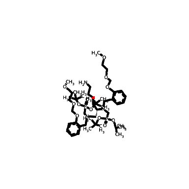 COCCOCOc1ccccc1CN(C[C@H](CCCCN)N(Cc1ccccc1OCOCCOC)CP(=O)(OC(C)(C)C)OC(C)(C)C)CP(=O)(OC(C)(C)C)OC(C)(C)C